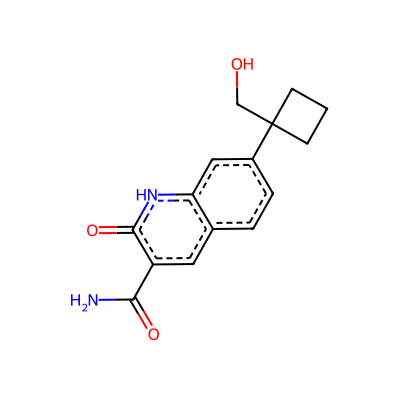 NC(=O)c1cc2ccc(C3(CO)CCC3)cc2[nH]c1=O